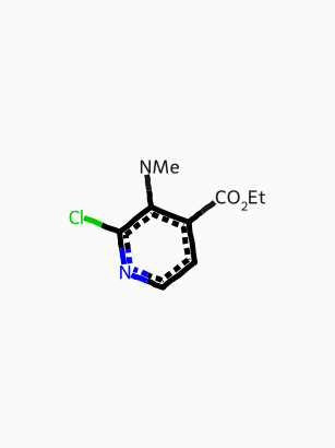 CCOC(=O)c1ccnc(Cl)c1NC